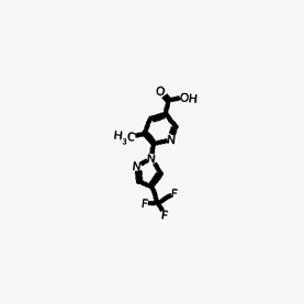 Cc1cc(C(=O)O)cnc1-n1cc(C(F)(F)F)cn1